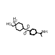 CC(=N)c1ccc(S(=O)(=O)C2CCC(N)(CO)CC2)cc1